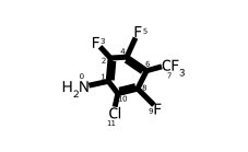 Nc1c(F)c(F)c(C(F)(F)F)c(F)c1Cl